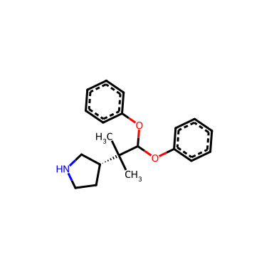 CC(C)(C(Oc1ccccc1)Oc1ccccc1)[C@@H]1CCNC1